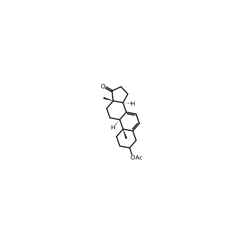 CC(=O)OC1CC[C@@]2(C)C(=CC=C3[C@@H]2CC[C@]2(C)C(=O)CC[C@@H]32)C1